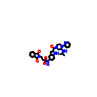 CC(C)NC1CN(C(=O)c2cc3cc(NS(=O)(=O)CCN4C(=O)c5ccccc5C4=O)ccc3[nH]2)CCN1c1ccccn1